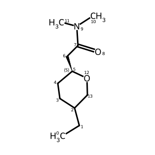 CCC1CC[C@@H](CC(=O)N(C)C)OC1